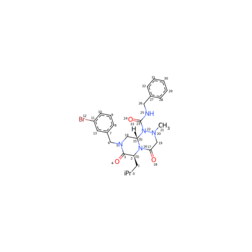 CC(C)C[C@H]1C(=O)N(Cc2cccc(Br)c2)C[C@H]2N1C(=O)CN(C)N2C(=O)NCc1ccccc1